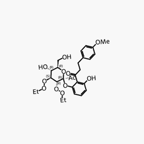 CCOO[C@H]1[C@H](O)[C@@H](CO)O[C@](Oc2cccc(O)c2C(=O)CCc2ccc(OC)cc2)(C(C)=O)[C@@H]1OOCC